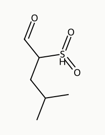 CC(C)CC(C=O)[SH](=O)=O